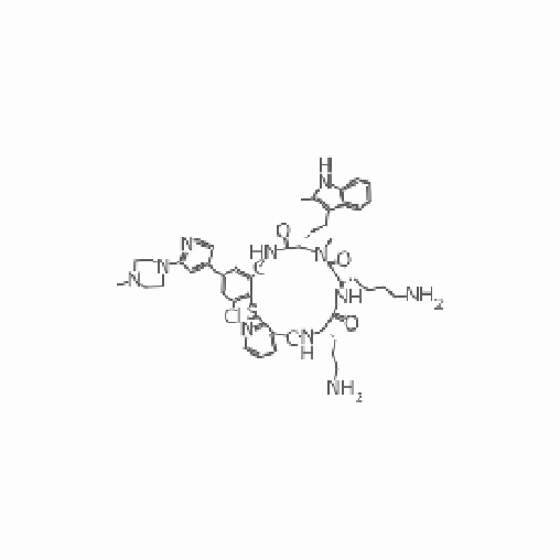 Cc1[nH]c2ccccc2c1CC[C@H]1C(=O)NCc2cc(-c3ccnc(N4CCN(C)CC4)c3)cc(Cl)c2Sc2ncccc2CN[C@@H](CCCN)C(=O)N[C@@H](CCCCN)C(=O)N1C